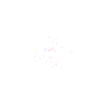 CN(C)C(CSS(=O)(=O)c1ccccc1)CSS(=O)(=O)c1ccccc1.O=c1ccc2cc(O[C@@H]3O[C@H](CO)[C@@H](O)[C@H](O)[C@H]3O)c(O)cc2o1